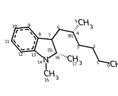 CCCC[C@@H](C)CC1c2ccccc2N(C)[C@H]1C